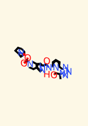 CC(CO)n1nnnc1-c1cccc(NC(=O)c2cc3c(cn2)CCN(C(=O)OC2CC4CCC(C2)N4C)C3)n1